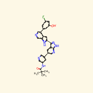 CC(C)(C)C(=O)Nc1cncc(-c2cnc3[nH]nc(-c4cc5c(-c6cc(O)cc(F)c6)cncc5[nH]4)c3c2)c1